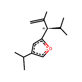 C=C(C)[C@H](c1cc(C(C)C)co1)C(C)C